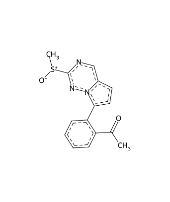 CC(=O)c1ccccc1-c1ccc2cnc([S+](C)[O-])nn12